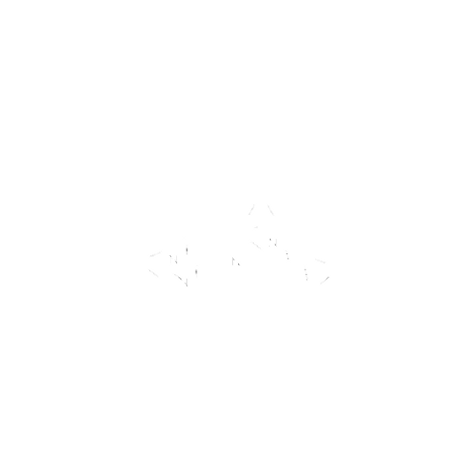 Cc1ccc2c(c1)c1c(n2/C=C/c2ccccc2)CCN(CCc2c(C)nc3c(C)cccn3c2=O)C1